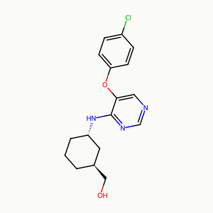 OC[C@H]1CCC[C@H](Nc2ncncc2Oc2ccc(Cl)cc2)C1